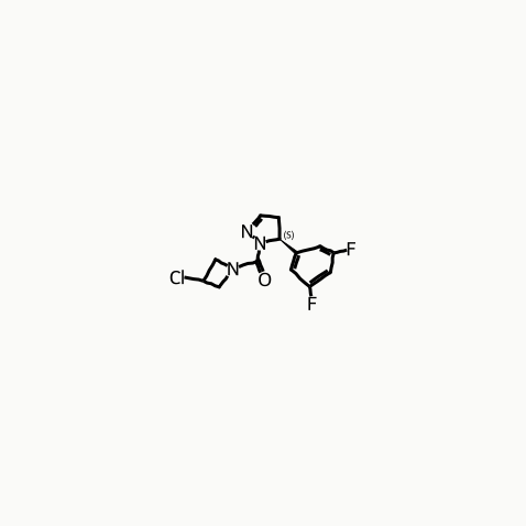 O=C(N1CC(Cl)C1)N1N=CC[C@H]1c1cc(F)cc(F)c1